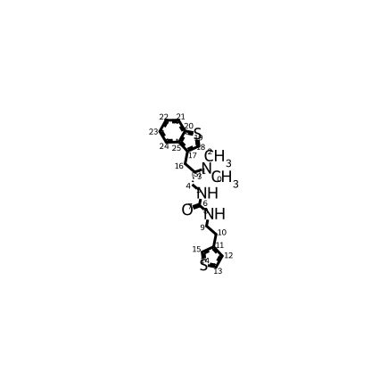 CN(C)[C@H](CNC(=O)NCCc1ccsc1)Cc1csc2ccccc12